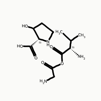 CC(C)[C@H](N)C(=O)OC(=O)CN.O=C(O)[C@H]1NCCC1O